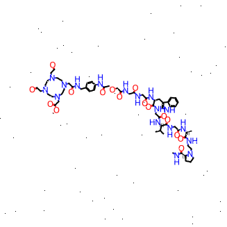 CNC(=O)[C@@H]1CCCN1CCNC(=O)[C@H](C)NC(=O)CNC(=O)[C@@H](NC(=O)CNC(=O)C(Cc1c[nH]c2ccccc12)NC(=O)CNC(=O)CNC(=O)COCC(=O)Nc1ccc(CNC(=O)CN2CCN(CC=O)CCN(CC=O)CCN(CC(=O)OC)CC2)cc1)C(C)C